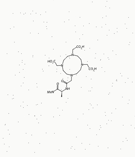 CNC(=O)[C@H](C)NC(=O)CN1CCN(CC(=O)O)CCN(CC(=O)O)CCN(CC(=O)O)CC1